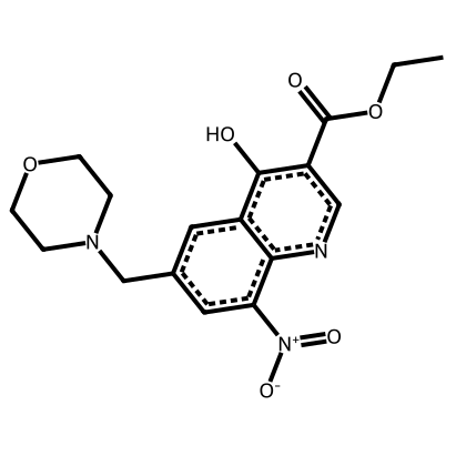 CCOC(=O)c1cnc2c([N+](=O)[O-])cc(CN3CCOCC3)cc2c1O